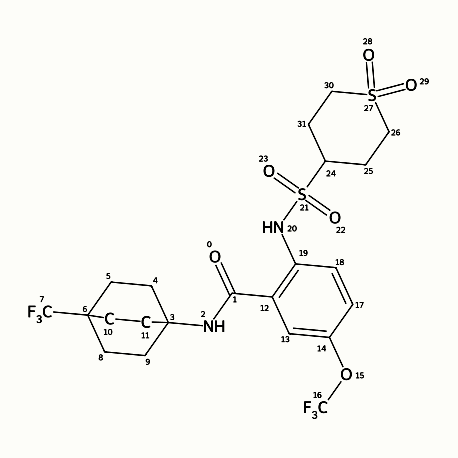 O=C(NC12CCC(C(F)(F)F)(CC1)CC2)c1cc(OC(F)(F)F)ccc1NS(=O)(=O)C1CCS(=O)(=O)CC1